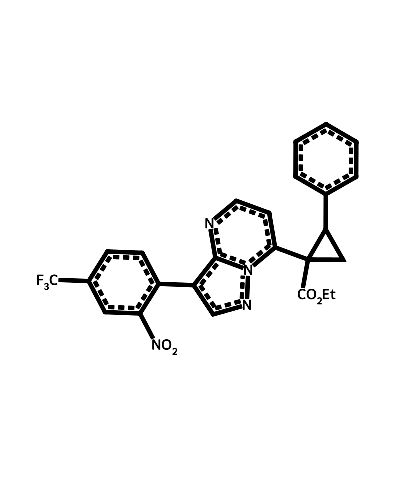 CCOC(=O)C1(c2ccnc3c(-c4ccc(C(F)(F)F)cc4[N+](=O)[O-])cnn23)CC1c1ccccc1